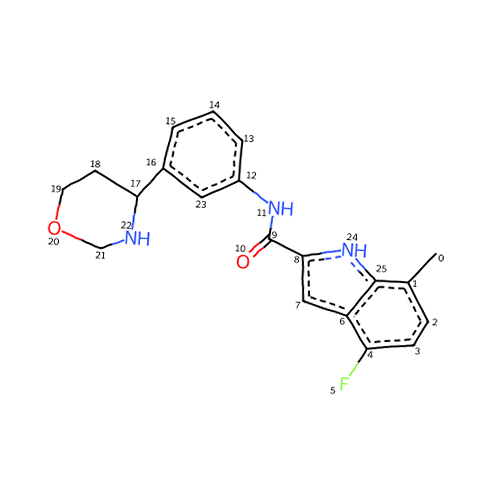 Cc1ccc(F)c2cc(C(=O)Nc3cccc(C4CCOCN4)c3)[nH]c12